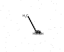 CCCCCCCCCCCCCCCCOP(=O)(O)OP(O)(O)=S